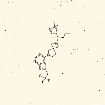 CCC[C@H](c1cnn(C)c1)N1CC2(CCN(c3ncnc4sc(CC(F)(F)F)cc34)C2)C1